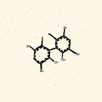 Cc1c(Br)cc(Br)c(O)c1-c1c(C)c(Br)cc(Br)c1O